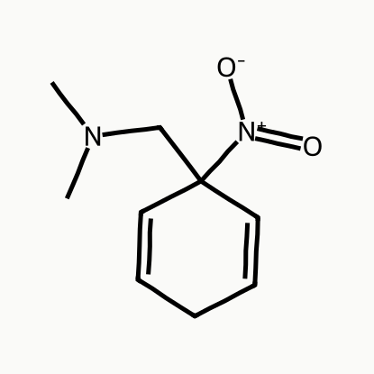 CN(C)CC1([N+](=O)[O-])C=CCC=C1